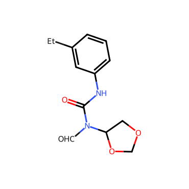 CCc1cccc(NC(=O)N(C=O)C2COCO2)c1